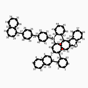 c1ccc(-c2ccc3ccccc3c2)c(-c2ccc(N(c3ccc(-c4ccc(-c5cccc6ccccc56)cc4)cc3)c3ccccc3-c3cccc4oc5ccccc5c34)cc2)c1